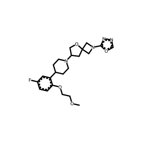 COCCOc1ccc(F)cc1C1CCN(C2COC3(C2)CN(c2nnco2)C3)CC1